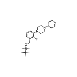 CC(C)(C)[Si](C)(C)OCc1cccc(N2CCN(c3ccccc3)CC2)c1F